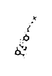 CC(C)(C)OC(=O)NCCC(=O)Nc1cccc(S(=O)(=O)N[C@H](Cc2cccc(C(=N)N)c2)c2nccs2)c1